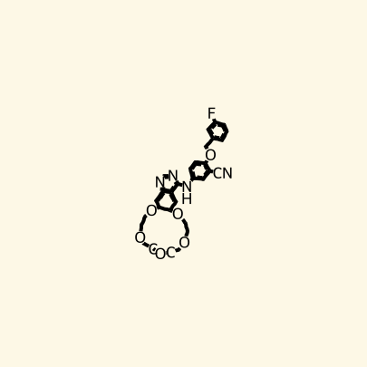 N#Cc1cc(Nc2ncnc3c2=CC2OCCOCCOCCOCCOC2C=3)ccc1OCc1cccc(F)c1